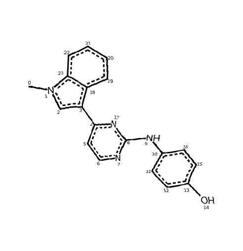 Cn1cc(-c2ccnc(Nc3ccc(O)cc3)n2)c2ccccc21